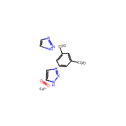 O=C([O-])c1cccc(C(=O)[O-])c1.O=O.[Cd+2].c1c[nH]nn1.c1c[nH]nn1